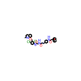 Cc1ccc2cccc(OCc3c(Cl)ccc(N(C)C(=O)CNC(=O)/C=C/c4ccc(NC(=O)CC56CC7CC(CC(C7)C5)C6)cc4)c3Cl)c2n1